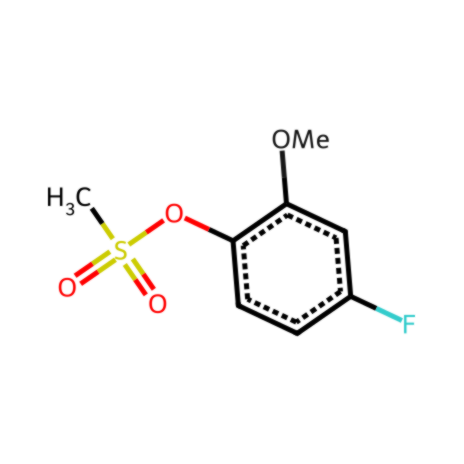 COc1cc(F)ccc1OS(C)(=O)=O